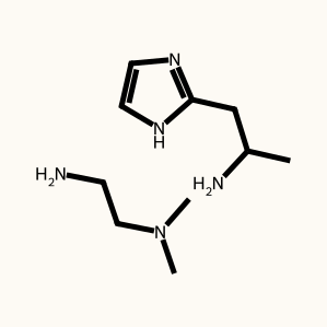 CC(N)Cc1ncc[nH]1.CN(C)CCN